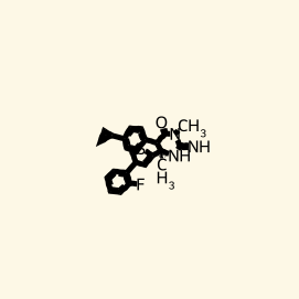 CN1C(=N)N[C@](C)(C2=CC(c3ccccc3F)CS2)C(c2ccc(C3CC3)cc2)C1=O